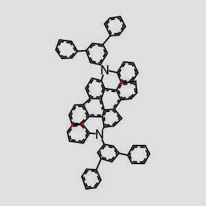 c1ccc(-c2cc(-c3ccccc3)cc(N(c3ccccc3)c3ccc4c5ccccc5c5c(N(c6ccccc6)c6cc(-c7ccccc7)cc(-c7ccccc7)c6)ccc6c7ccccc7c3c4c65)c2)cc1